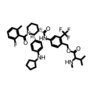 CNC(C(=O)OCc1ccc(NC(=O)[C@H]2CCCN(C(=O)c3c(C)cccc3F)[C@H]2c2ccc(NC3CCCC3)cc2)cc1C(F)(F)F)C(C)C